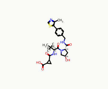 Cc1ncsc1-c1ccc(CNC(=O)[C@@H]2C[C@@H](O)CN2C(=O)[C@@H](NC(=O)C2CC2C(=O)O)C(C)(C)C)cc1